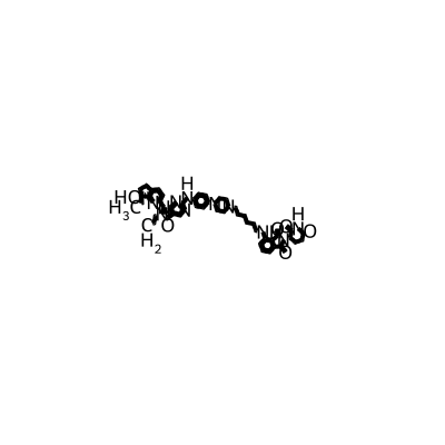 C=CCn1c(=O)c2cnc(Nc3ccc(N4CCN(CCCCCCNc5cccc6c5C(=O)N(C5CCC(=O)NC5=O)C6=O)CC4)cc3)nc2n1-c1ccc2c(n1)[C@@](O)(CC)CC2